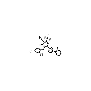 Cc1ccccc1-c1ccc(-c2cc(C(F)(F)F)c(C#N)c(=O)n2Cc2ccc(Cl)cc2Cl)s1